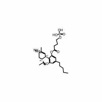 C=C(C)[C@@H]1CCC(C)=C[C@H]1c1c(O)cc(CCCCC)cc1OC(=O)CCCOP(=O)(O)O.N.N